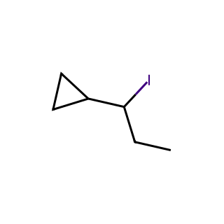 CCC(I)C1CC1